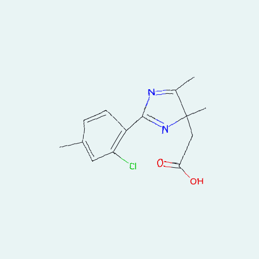 CC1=NC(c2ccc(C)cc2Cl)=NC1(C)CC(=O)O